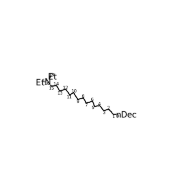 CCCCCCCCCCCCCCCCCCCCCCCCCN(CC)CC